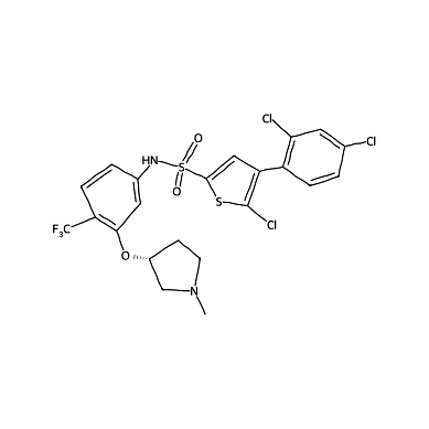 CN1CC[C@@H](Oc2cc(NS(=O)(=O)c3cc(-c4ccc(Cl)cc4Cl)c(Cl)s3)ccc2C(F)(F)F)C1